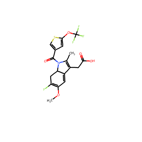 COC1=C(F)CC2C(=C1)C(CC(=O)O)=C(C)N2C(=O)c1csc(OC(F)(F)F)c1